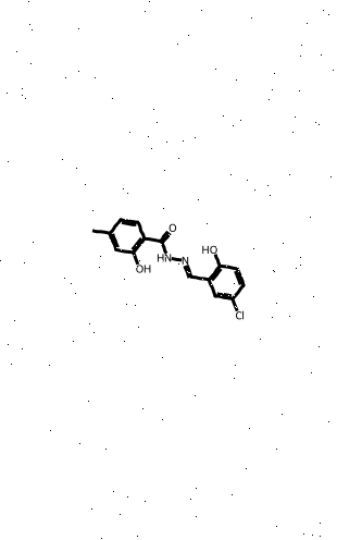 Cc1ccc(C(=O)N/N=C/c2cc(Cl)ccc2O)c(O)c1